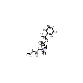 C=CC[C@H](I)C/[SH](=O)=N\C(=O)O[C@@H](C)c1ccccc1